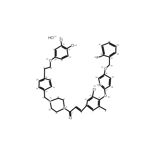 Cc1cc(C=CC(=O)N2CCN(Cc3ccc(CCOc4ccc(Cl)c(Cl)c4)cc3)CC2)cc(Cl)c1Oc1ccc(OCc2ccccc2F)cn1.Cl